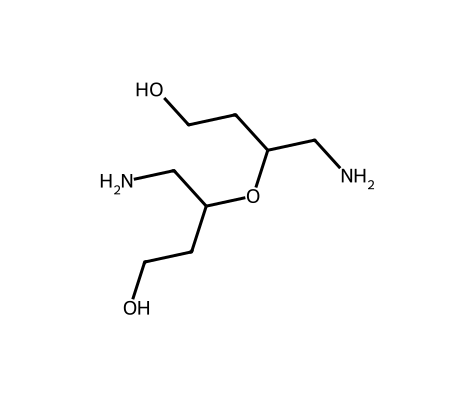 NCC(CCO)OC(CN)CCO